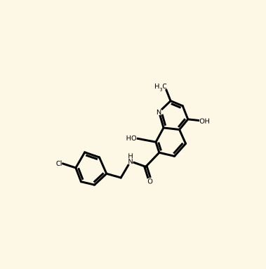 Cc1cc(O)c2ccc(C(=O)NCc3ccc(Cl)cc3)c(O)c2n1